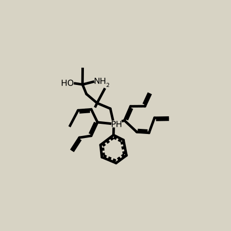 C=C/C=C\C(=C/C=C)[PH](CC(C)(C)CC(C)(N)O)(C(/C=C\C)=C/C=C)c1ccccc1